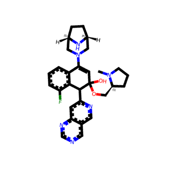 CN1CCC[C@H]1COC1(O)C=C(N2C[C@H]3CC[C@@H](C2)N3)c2cccc(F)c2C1c1cc2ncncc2cn1